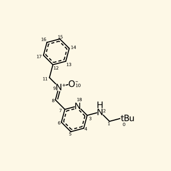 CC(C)(C)CNc1cccc(C=[N+]([O-])Cc2ccccc2)n1